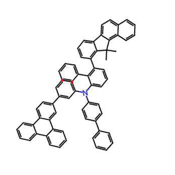 CC1(C)c2c(-c3cccc(N(c4ccc(-c5ccccc5)cc4)c4cccc(-c5ccc6c7ccccc7c7ccccc7c6c5)c4)c3-c3ccccc3)cccc2-c2ccc3ccccc3c21